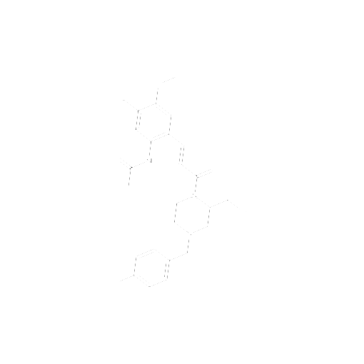 COc1cc(C=CC(=O)N2CCN(Cc3ccc(F)cc3)CC2CO)c(NC(C)=O)cc1Cl